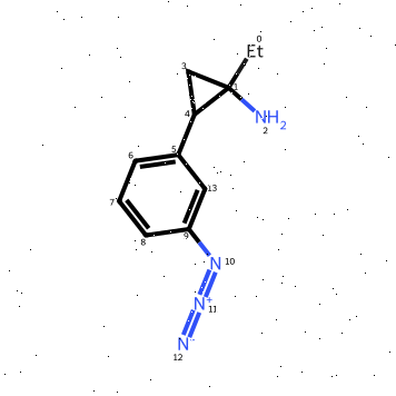 CCC1(N)CC1c1cccc(N=[N+]=[N-])c1